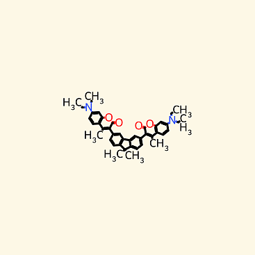 CCN(CC)c1ccc2c(C)c(-c3ccc4c(c3)-c3cc(-c5c(C)c6ccc(N(CC)CC)cc6oc5=O)ccc3C4(C)C)c(=O)oc2c1